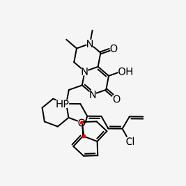 C=C/C(Cl)=C\C=C(/C)C[PH]1(Cc2nc(=O)c(O)c3n2CC(C)N(C)C3=O)CCCCC1OCC1=C\CC/C=C/C=C\1